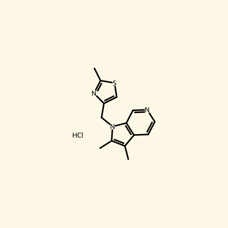 Cc1nc(Cn2c(C)c(C)c3ccncc32)cs1.Cl